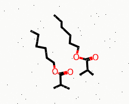 CCCCCCOC(=O)C(C)C.CCCCCCOC(=O)C(C)C